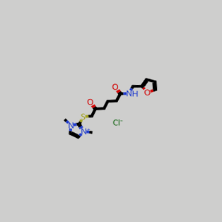 Cn1cc[n+](C)c1SCC(=O)CCCC(=O)NCc1ccco1.[Cl-]